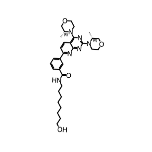 C[C@@H]1COCCN1c1nc(N2CCOC[C@H]2C)c2ccc(-c3cccc(C(=O)NCCCCCCCCO)c3)nc2n1